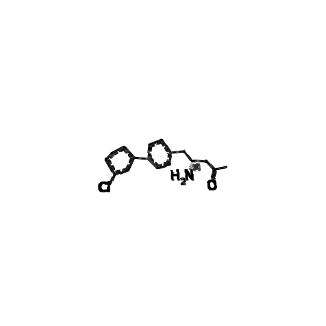 CC(=O)C[C@H](N)Cc1ccc(-c2cccc(Cl)c2)cc1